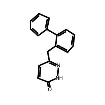 O=c1ccc(Cc2ccccc2-c2ccccc2)n[nH]1